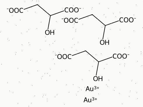 O=C([O-])CC(O)C(=O)[O-].O=C([O-])CC(O)C(=O)[O-].O=C([O-])CC(O)C(=O)[O-].[Au+3].[Au+3]